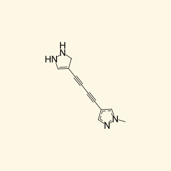 Cn1cc(C#CC#CC2=CNNC2)cn1